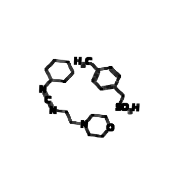 C(=NCCN1CCOCC1)=NC1CCCCC1.Cc1ccc(CS(=O)(=O)O)cc1